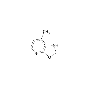 Cc1ccnc2c1NCO2